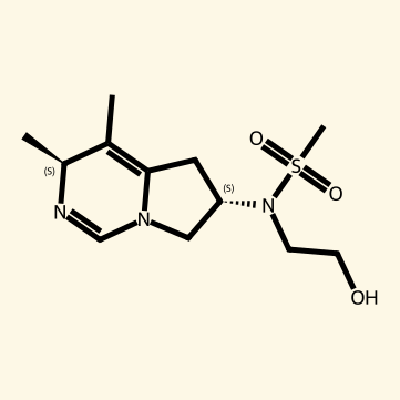 CC1=C2C[C@H](N(CCO)S(C)(=O)=O)CN2C=N[C@H]1C